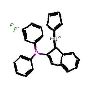 C1=CC[C]([Hf+2][CH]2C(P(c3ccccc3)c3ccccc3)=Cc3ccccc32)=C1.[F-].[F-]